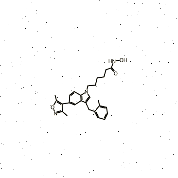 Cc1ccccc1Cc1cn(CCCCCC(=O)NO)c2ccc(-c3c(C)noc3C)cc12